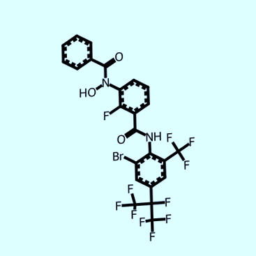 O=C(Nc1c(Br)cc(C(F)(C(F)(F)F)C(F)(F)F)cc1C(F)(F)F)c1cccc(N(O)C(=O)c2ccccc2)c1F